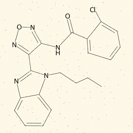 CCCCn1c(-c2nonc2NC(=O)c2ccccc2Cl)nc2ccccc21